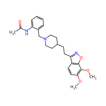 COc1ccc2c(CCC3CCN(Cc4ccccc4NC(C)=O)CC3)noc2c1OC